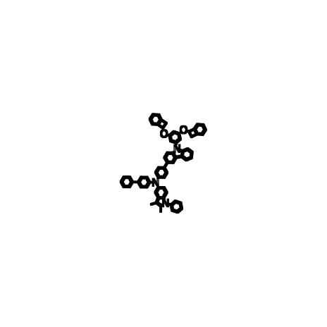 Cc1c(C)n(-c2ccccc2)c2ccc(N(c3ccc(-c4ccccc4)cc3)c3ccc(-c4ccc5c(c4)c4ccccc4n5-c4cc(OC5Cc6ccccc65)cc(OC5Cc6ccccc65)c4)cc3)cc12